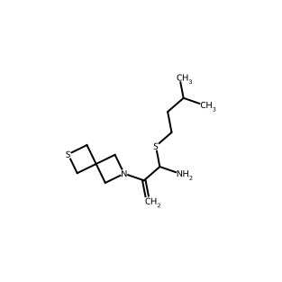 C=C(C(N)SCCC(C)C)N1CC2(CSC2)C1